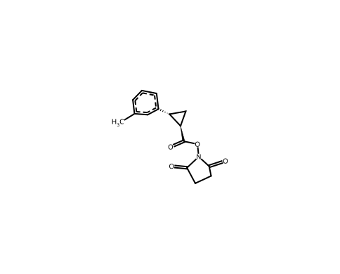 Cc1cccc([C@@H]2C[C@H]2C(=O)ON2C(=O)CCC2=O)c1